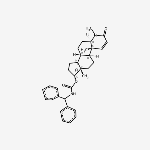 CN1C(=O)C=C[C@]2(C)[C@H]3CC[C@]4(C)[C@@H](OC(=O)NC(c5ccccc5)c5ccccc5)CC[C@H]4[C@@H]3CC[C@@H]12